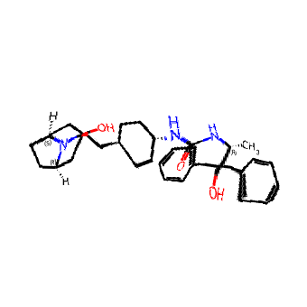 C[C@@H](NC(=O)N[C@H]1CC[C@H](CCN2[C@@H]3CC[C@H]2CC(O)C3)CC1)C(O)(c1ccccc1)c1ccccc1